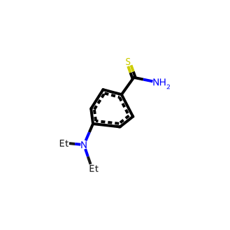 CCN(CC)c1ccc(C(N)=S)cc1